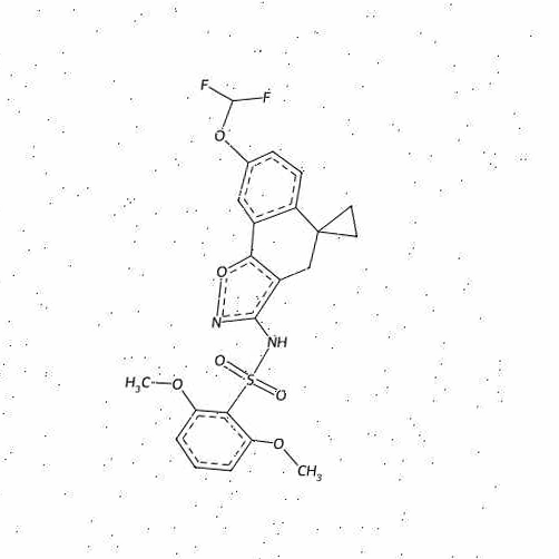 COc1cccc(OC)c1S(=O)(=O)Nc1noc2c1CC1(CC1)c1ccc(OC(F)F)cc1-2